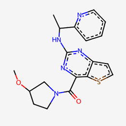 COC1CCN(C(=O)c2nc(NC(C)c3ccccn3)nc3ccsc23)C1